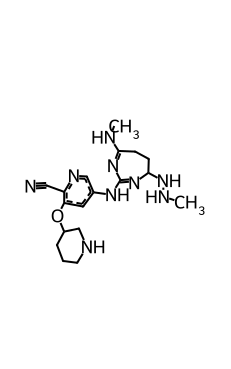 CNNC1CCC(NC)=NC(Nc2cnc(C#N)c(OC3CCCNC3)c2)=N1